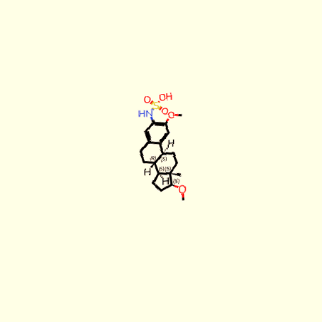 COc1cc2c(cc1NS(=O)(=O)O)CC[C@@H]1[C@@H]2CC[C@]2(C)[C@@H](OC)CC[C@@H]12